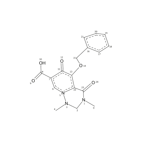 CN1CN(C)n2cc(C(=O)O)c(=O)c(OCc3ccccc3)c2C1=O